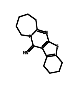 N=c1c2c3c(sc2nc2n1CCCCC2)CCCC3